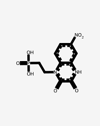 O=c1[nH]c2cc([N+](=O)[O-])ccc2n(CCP(=O)(O)O)c1=O